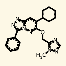 Cn1ncnc1COc1nn2c(-c3ccccc3)nnc2cc1C1CCCCC1